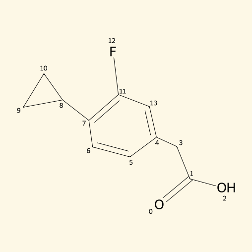 O=C(O)Cc1ccc(C2CC2)c(F)c1